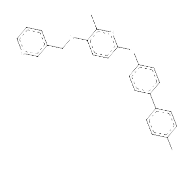 Cc1nc(Oc2ccc(-c3ccc(F)cc3)cc2)ccc1NCc1cccnc1